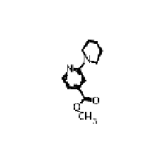 COC(=O)c1ccnc(N2CCCCC2)c1